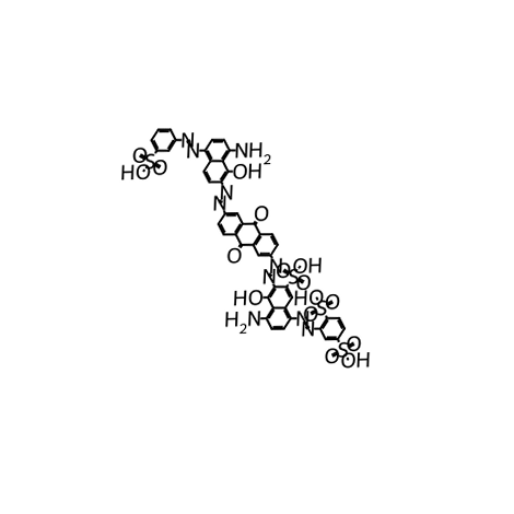 Nc1ccc(N=Nc2cccc(S(=O)(=O)O)c2)c2ccc(N=Nc3ccc4c(c3)C(=O)c3ccc(N=Nc5c(S(=O)(=O)O)cc6c(N=Nc7cc(S(=O)(=O)O)ccc7S(=O)(=O)O)ccc(N)c6c5O)cc3C4=O)c(O)c12